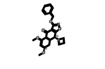 COC1=C[C@H](OC)CC2C1C(=O)c1c(OCc3ccccc3)noc1[C@H]2N1CCC1